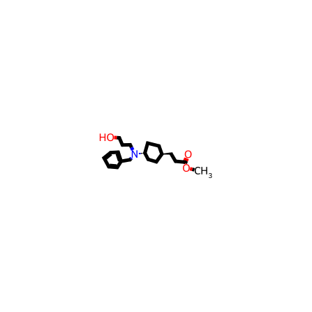 COC(=O)CC[C@H]1CC[C@H](N(CCCO)Cc2ccccc2)CC1